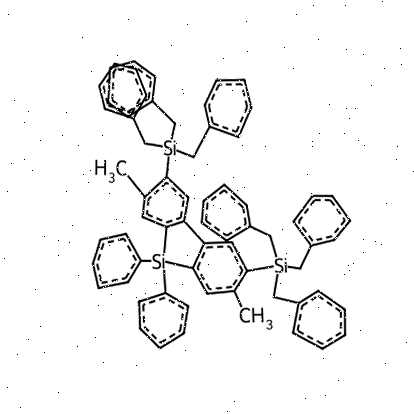 Cc1cc2c(cc1[Si](Cc1ccccc1)(Cc1ccccc1)Cc1ccccc1)-c1cc([Si](Cc3ccccc3)(Cc3ccccc3)Cc3ccccc3)c(C)cc1[Si]2(c1ccccc1)c1ccccc1